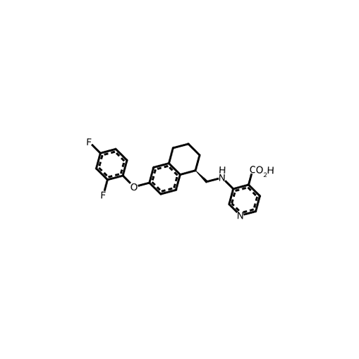 O=C(O)c1ccncc1NC[C@@H]1CCCc2cc(Oc3ccc(F)cc3F)ccc21